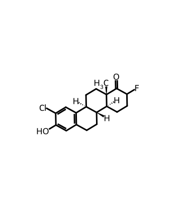 C[C@]12CC[C@@H]3c4cc(Cl)c(O)cc4CC[C@H]3[C@@H]1CCC(F)C2=O